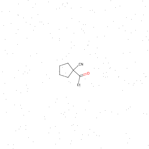 CCC(=O)C1(C#N)CCCC1